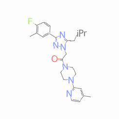 Cc1ccnc(N2CCN(C(=O)Cn3nc(-c4ccc(F)c(C)c4)nc3CC(C)C)CC2)c1